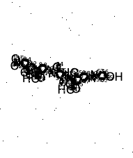 COc1cc(/N=N/c2ccc(/C=C/c3ccc([N+](=O)[O-])cc3S(=O)(=O)O)c(S(=O)(=O)O)c2)c(OC)cc1N=Nc1c(S(=O)(=O)O)cc2cc(/N=N/c3ccc(O)cc3)ccc2c1O